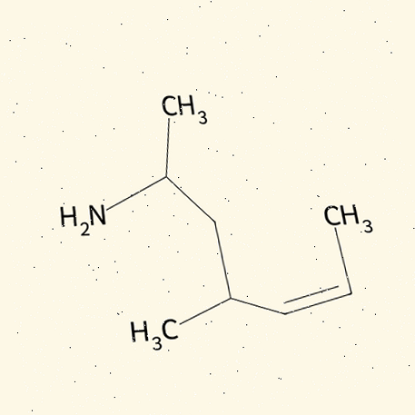 C/C=C\C(C)CC(C)N